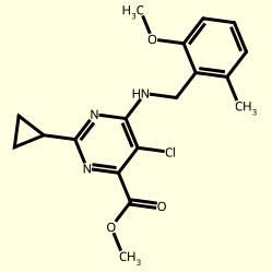 COC(=O)c1nc(C2CC2)nc(NCc2c(C)cccc2OC)c1Cl